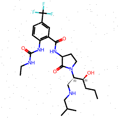 CCC[C@H](O)[C@H](CNCC(C)C)N1CCC(NC(=O)c2cc(C(F)(F)F)ccc2NC(=O)NCC)C1=O